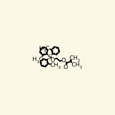 C=C(C)C(=O)OCCO[Si](c1ccccc1C)(c1ccccc1C)c1ccccc1C